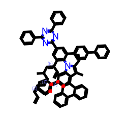 C=C/C=C\C=C/C(C)/C=C(\C=C)c1cc(-c2nc(-c3ccccc3)nc(-c3ccccc3)n2)cc(-c2ccc(-c3ccccc3)cc2)c1-n1c(C=C)c(C)c2c(-c3ccccc3-c3ccccc3C(C)/C=C\C=C)cc(-c3ccccc3)cc21